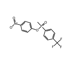 CP(=O)(Oc1ccc([N+](=O)[O-])cc1)c1ccc(C(F)(F)F)cc1